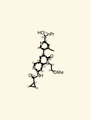 CCC[C@H](O)c1cc(C)c(-c2cc3cnc(NC(=O)C4CC4)cc3n(CCOC)c2=O)cn1